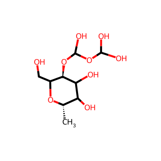 C[C@@H]1OC(CO)[C@@H](OC(O)OC(O)O)C(O)C1O